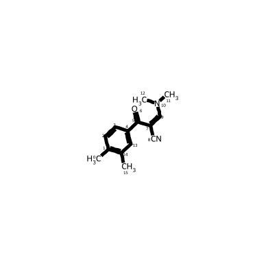 Cc1ccc(C(=O)/C(C#N)=C\N(C)C)cc1C